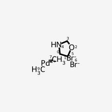 C1COCN1.[Br-].[Br-].[CH3][Pd+2][CH3]